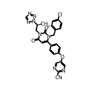 C[C@@H](Cn1c(=O)cc(-c2ccc(Oc3cnc(C#N)nc3)cc2)n(Cc2ccc(Cl)cc2)c1=O)n1ncnn1